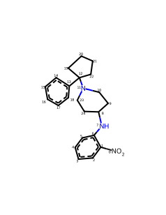 O=[N+]([O-])c1ccccc1NC1CCN(C2(c3ccccc3)CCCC2)CC1